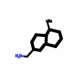 CCCCc1cccc2cc(CN)ccc12